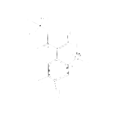 C/C(O)=C(/C(=O)OC(C)(C)C)c1cc(Cl)c(Cl)cc1[N+](=O)[O-]